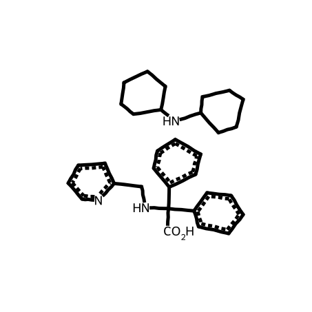 C1CCC(NC2CCCCC2)CC1.O=C(O)C(NCc1ccccn1)(c1ccccc1)c1ccccc1